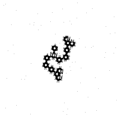 c1ccc(-c2nc(-c3cccc(-c4cccc(-c5ccc(-c6cc7cccnc7c7ncccc67)cc5)c4)c3)cc(-c3cccc(-c4cccc(-c5ccc(-c6cc7cccnc7c7ncccc67)cc5)c4)c3)n2)cc1